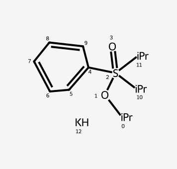 CC(C)OS(=O)(c1ccccc1)(C(C)C)C(C)C.[KH]